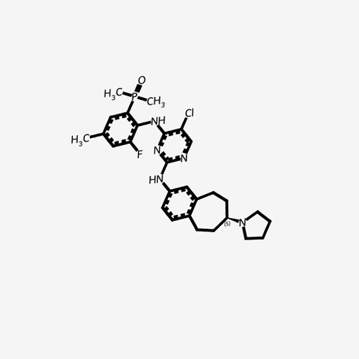 Cc1cc(F)c(Nc2nc(Nc3ccc4c(c3)CC[C@@H](N3CCCC3)CC4)ncc2Cl)c(P(C)(C)=O)c1